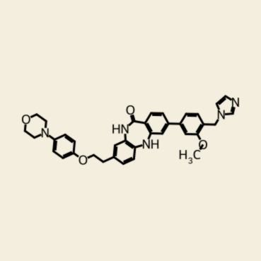 COc1cc(-c2ccc3c(c2)Nc2ccc(CCOc4ccc(N5CCOCC5)cc4)cc2NC3=O)ccc1Cn1ccnc1